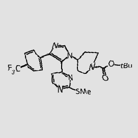 CSc1nccc(-c2c(-c3ccc(C(F)(F)F)cc3)ncn2C2CCN(C(=O)OC(C)(C)C)CC2)n1